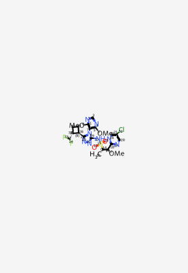 COc1ncnc(OC)c1-n1c(NS(=O)(=O)[C@@H](C)[C@H](OC)c2ncc(Cl)cn2)nnc1[C@@H]1CC[C@H]1C(F)F